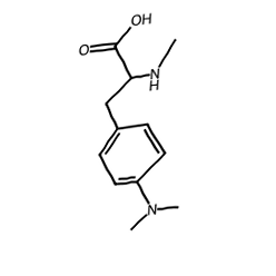 CNC(Cc1ccc(N(C)C)cc1)C(=O)O